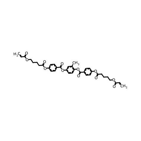 C=CC(=O)OCCCCC(=O)Oc1ccc(C(=O)Oc2ccc(OC(=O)c3ccc(OC(=O)CCCCOC(=O)C=C)cc3)c(C)c2)cc1